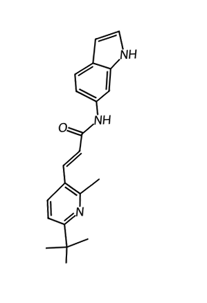 Cc1nc(C(C)(C)C)ccc1C=CC(=O)Nc1ccc2cc[nH]c2c1